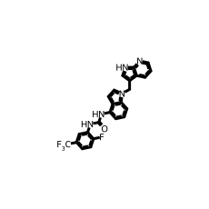 O=C(Nc1cc(C(F)(F)F)ccc1F)Nc1cccc2c1ccn2Cc1c[nH]c2ncccc12